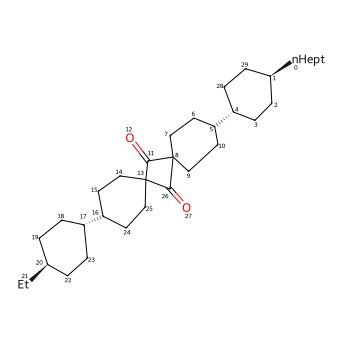 CCCCCCC[C@H]1CC[C@H](C2CCC3(CC2)C(=O)C2(CCC([C@H]4CC[C@H](CC)CC4)CC2)C3=O)CC1